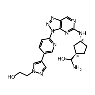 NC(O)[C@@H]1CC[C@@H](Nc2ncc3nnn(-c4ccc(-c5cnn(CCO)c5)cn4)c3n2)C1